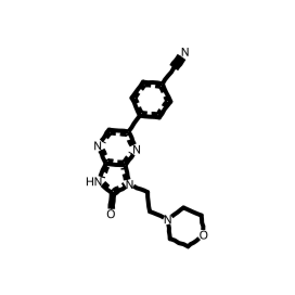 N#Cc1ccc(-c2cnc3[nH]c(=O)n(CCN4CCOCC4)c3n2)cc1